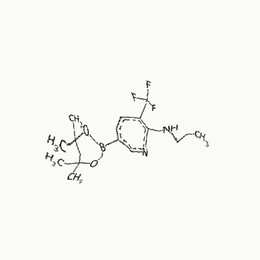 CCNc1ncc(B2OC(C)(C)C(C)(C)O2)cc1C(F)(F)F